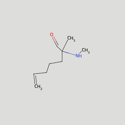 C=CCCCC(C)(C=O)NC